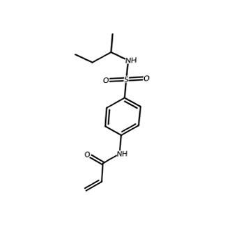 C=CC(=O)Nc1ccc(S(=O)(=O)NC(C)CC)cc1